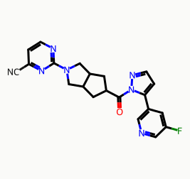 N#Cc1ccnc(N2CC3CC(C(=O)n4nccc4-c4cncc(F)c4)CC3C2)n1